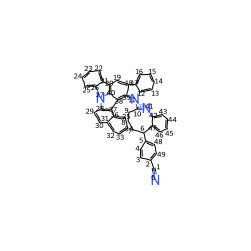 N#Cc1ccc(C2CCC/C(n3c4ccccc4c4cc5c6ccccc6n6c7ccc8ccccc8c7c(c43)c56)=N\c3ccccc32)cc1